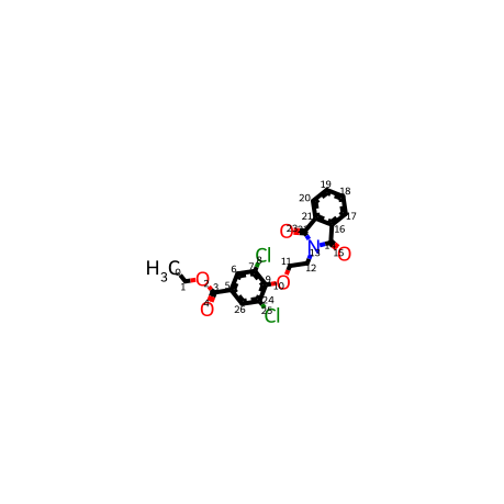 CCOC(=O)c1cc(Cl)c(OCCN2C(=O)c3ccccc3C2=O)c(Cl)c1